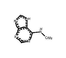 CONc1ncnc2nc[nH]c12